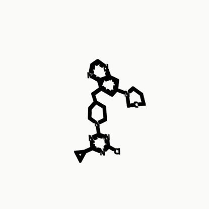 Clc1nc(C2CC2)nc(N2CCC(Cc3cc(N4CCCCC4)cc4nccnc34)CC2)n1